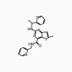 Cc1cc2nc(NC(C)c3ccccn3)nc(C(=O)NCc3ccccn3)c2s1